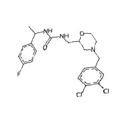 CC(NC(=O)NCC1CN(Cc2ccc(Cl)c(Cl)c2)CCO1)c1ccc(F)cc1